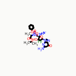 CC(C)OC(=O)C(C)NP(=O)(OC[C@@]1(N=[N+]=[N-])O[C@@H](n2cnc3c2N=C(N)CC3=O)C(F)(F)[C@@H]1O)Oc1ccccc1